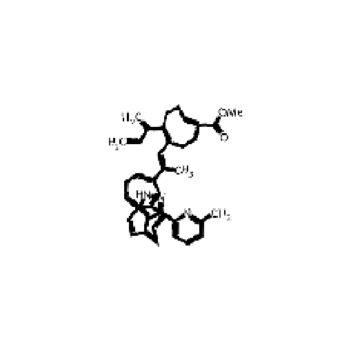 C=CC(=C)/C1=C(\C=C(/C)C2=CCC=C3\C=C/C(c4c[nH]nc4-c4cccc(C)n4)=C/C=C/C3=C2)CC/C(C(=O)OC)=C/CC1